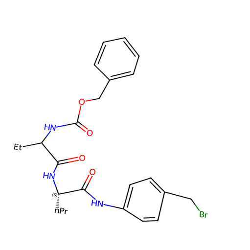 CCC[C@H](NC(=O)C(CC)NC(=O)OCc1ccccc1)C(=O)Nc1ccc(CBr)cc1